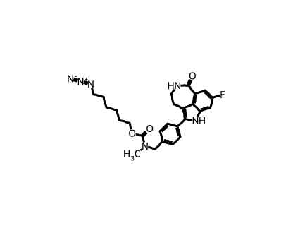 CN(Cc1ccc(-c2[nH]c3cc(F)cc4c3c2CCNC4=O)cc1)C(=O)OCCCCCCN=[N+]=[N-]